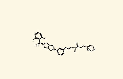 Cc1cccc(C)c1C(=O)N1CC2CN(c3cccc(CCCNC(=O)CCN4CC5CCC4C5)c3)CC2C1